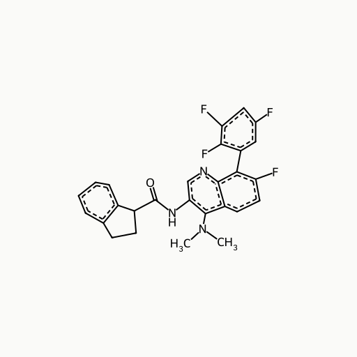 CN(C)c1c(NC(=O)C2CCc3ccccc32)cnc2c(-c3cc(F)cc(F)c3F)c(F)ccc12